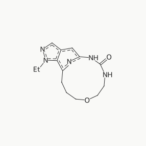 CCn1ncc2cc3nc(c21)CCCOCCNC(=O)N3